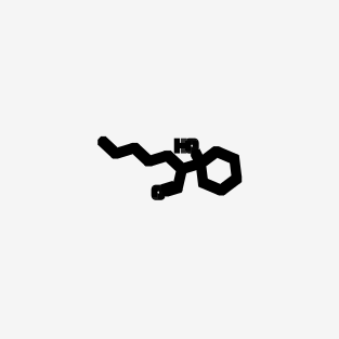 CCCCCC(C=O)C1(O)CCCCC1